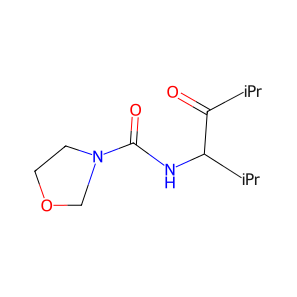 CC(C)C(=O)C(NC(=O)N1CCOC1)C(C)C